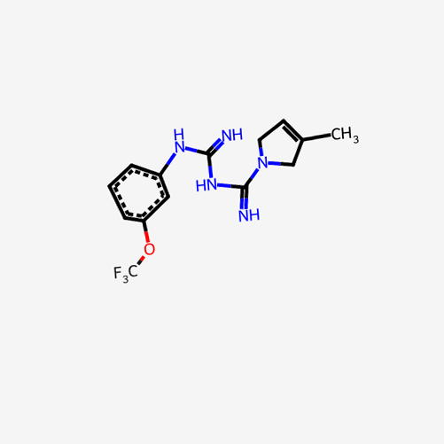 CC1=CCN(C(=N)NC(=N)Nc2cccc(OC(F)(F)F)c2)C1